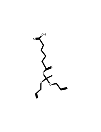 C=CCOC(C)(OCC=C)OC(=O)CCCCC(=O)O